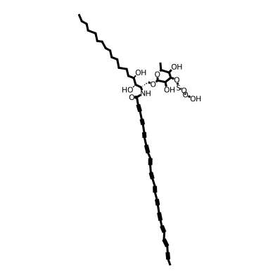 CC#CC#CC#CC#CC#CC#CC#CC#CC#CC#CC#CC#CC(=O)N[C@@H](COC1OC(C)C(O)C(OSOOO)C1O)[C@H](O)[C@H](O)CCCCCCCCCCCCCC